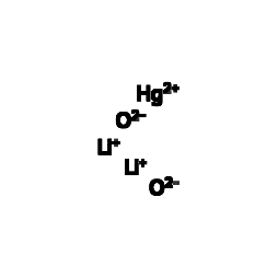 [Hg+2].[Li+].[Li+].[O-2].[O-2]